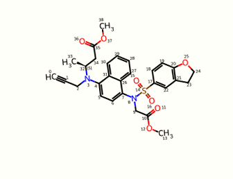 C#CCN(c1ccc(N(CC(=O)OC)S(=O)(=O)c2ccc3c(c2)CCO3)c2ccccc12)[C@@H](C)CC(=O)OC